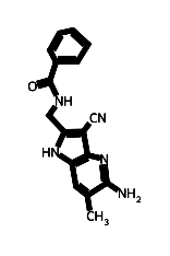 Cc1cc2[nH]c(CNC(=O)c3ccccc3)c(C#N)c2nc1N